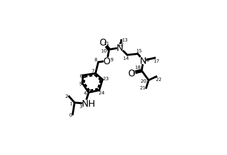 CC(C)Nc1ccc(COC(=O)N(C)CCN(C)C(=O)C(C)C)cc1